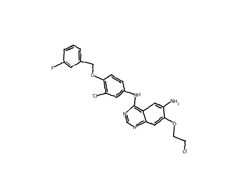 Nc1cc2c(Nc3ccc(OCc4cccc(F)c4)c(Cl)c3)ncnc2cc1OCCCl